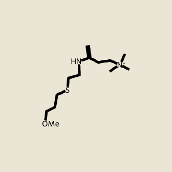 C=C(CC[N+](C)(C)C)NCCSCCCOC